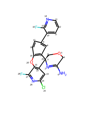 NC1=N[C@@]2(COC1)c1cc(-c3cccnc3F)ccc1Oc1c2cc(Cl)nc1F